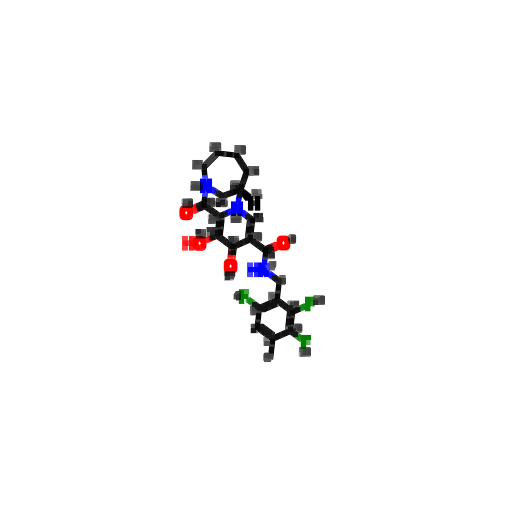 Cc1cc(F)c(CNC(=O)c2cn3c(c(O)c2=O)C(=O)N2CCCC[C@H]3C2)c(F)c1F